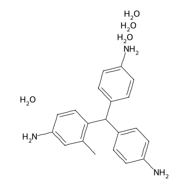 Cc1cc(N)ccc1C(c1ccc(N)cc1)c1ccc(N)cc1.O.O.O.O